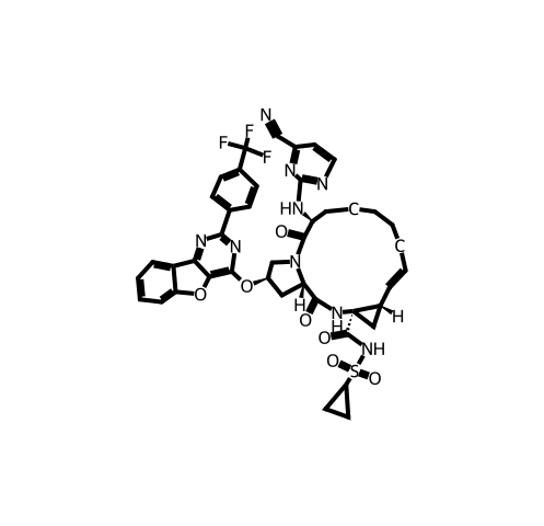 N#Cc1ccnc(N[C@H]2CCCCC/C=C\[C@@H]3C[C@@]3(C(=O)NS(=O)(=O)C3CC3)NC(=O)[C@@H]3C[C@@H](Oc4nc(-c5ccc(C(F)(F)F)cc5)nc5c4oc4ccccc45)CN3C2=O)n1